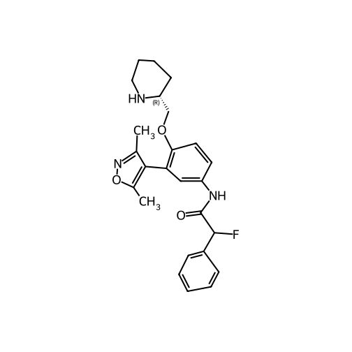 Cc1noc(C)c1-c1cc(NC(=O)C(F)c2ccccc2)ccc1OC[C@H]1CCCCN1